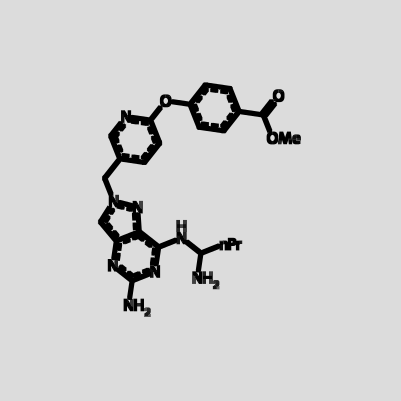 CCCC(N)Nc1nc(N)nc2cn(Cc3ccc(Oc4ccc(C(=O)OC)cc4)nc3)nc12